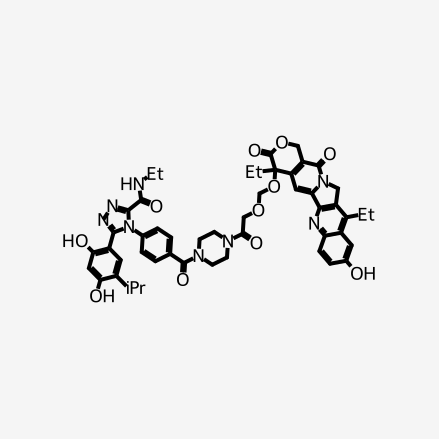 CCNC(=O)c1nnc(-c2cc(C(C)C)c(O)cc2O)n1-c1ccc(C(=O)N2CCN(C(=O)COCOC3(CC)C(=O)OCc4c3cc3n(c4=O)Cc4c-3nc3ccc(O)cc3c4CC)CC2)cc1